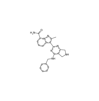 Cc1nn2c(C(N)=O)cccc2c1-c1nc2c(c(NCc3ccccc3)n1)CNC2